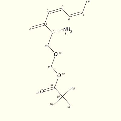 C=C(/C=C\C=C/C)[C@H](N)COCOC(=O)C(C)(C)C